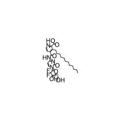 CCCCCCCCCCCCc1c(C(=O)Nc2ccn([C@@H]3O[C@H](CO)[C@@H](O)C3(F)F)c(=O)n2)ccnc1C(=O)O